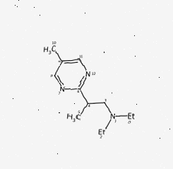 CCN(CC)CC(C)c1ncc(C)cn1